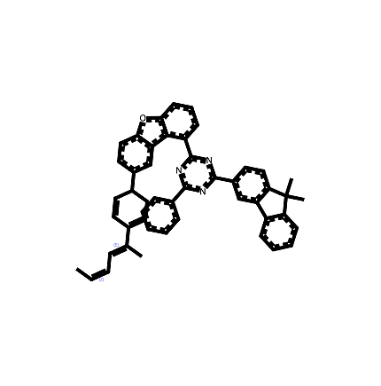 C/C=C\C=C(/C)C1=CCC(c2ccc3oc4cccc(-c5nc(-c6ccccc6)nc(-c6ccc7c(c6)-c6ccccc6C7(C)C)n5)c4c3c2)C=C1